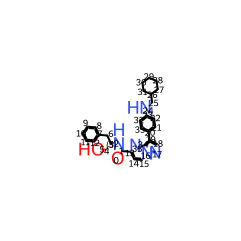 O=C(N[C@H](CO)Cc1ccccc1)c1ccn2ncc(-c3ccc(NCC4CCCCC4)cc3)c2n1